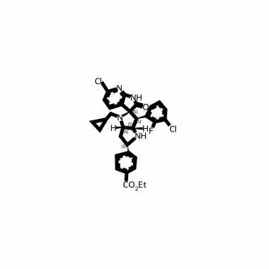 CCOC(=O)c1ccc([C@@H]2C[C@H]3[C@@H](N2)[C@H](c2cccc(Cl)c2F)[C@]2(C(=O)Nc4nc(Cl)ccc42)N3CC2CC2)cc1